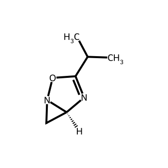 CC(C)C1=N[C@H]2CN2O1